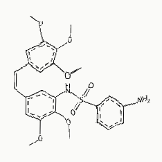 COc1cc(/C=C\c2cc(OC)c(OC)c(OC)c2)cc(NS(=O)(=O)c2cccc(N)c2)c1OC